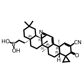 CC1(C)CC[C@]2(CCB(O)O)CC[C@@]3(C)[C@]4(C)CC[C@H]5C6(CC6)C(=O)C(C#N)=C[C@]5(C)C4=CC4=N[C@]43C2C1